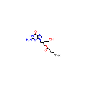 CCCCCCCCCCCCCC(=O)OCC(CCO)Cn1cnc2c(=O)[nH]c(N)nc21